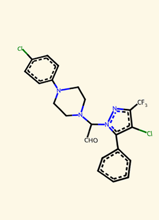 O=CC(N1CCN(c2ccc(Cl)cc2)CC1)n1nc(C(F)(F)F)c(Cl)c1-c1ccccc1